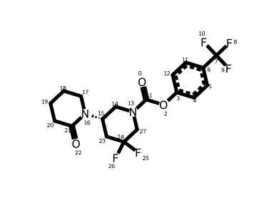 O=C(Oc1ccc(C(F)(F)F)cc1)N1C[C@@H](N2CCCCC2=O)CC(F)(F)C1